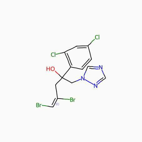 OC(C/C(Br)=C\Br)(Cn1cncn1)c1ccc(Cl)cc1Cl